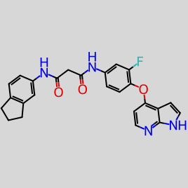 O=C(CC(=O)Nc1ccc2c(c1)CCC2)Nc1ccc(Oc2ccnc3[nH]ccc23)c(F)c1